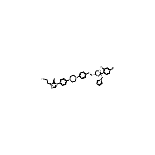 CC(C)CCn1ncn(-c2ccc(N3CCN(c4ccc(OC[C@@H]5CO[C@@](Cn6ccnc6)(c6ccc(F)cc6F)O5)cc4)CC3)cc2)c1=O